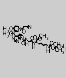 COC(=O)[C@H](CCCCNC(=O)OC(C)(C)C)NC(=O)CNC(=O)n1ccc2c(N(C)[C@H]3CN(C(=O)CC#N)CC[C@H]3C)ncnc21